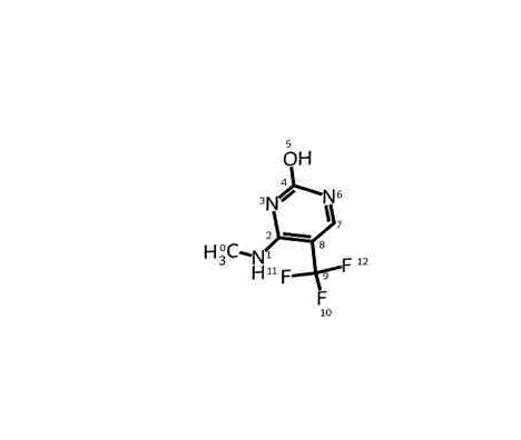 CNc1nc(O)ncc1C(F)(F)F